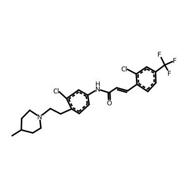 CC1CCN(CCc2ccc(NC(=O)C=Cc3ccc(C(F)(F)F)cc3Cl)cc2Cl)CC1